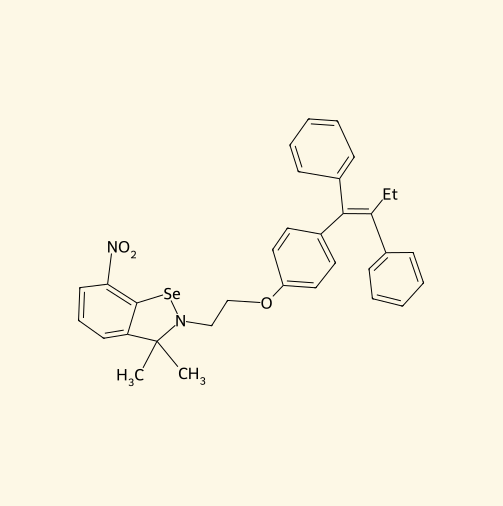 CCC(=C(c1ccccc1)c1ccc(OCCN2[Se]c3c([N+](=O)[O-])cccc3C2(C)C)cc1)c1ccccc1